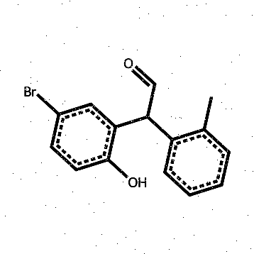 Cc1ccccc1C(C=O)c1cc(Br)ccc1O